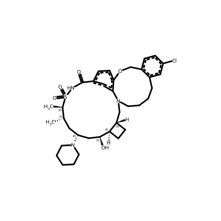 C[C@@H]1[C@@H](C)C[C@@H](N2CCCCC2)C[C@H](O)[C@@H]2CC[C@H]2CN2CCCCc3cc(Cl)ccc3COc3ccc(cc32)C(=O)NS1(=O)=O